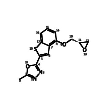 Cc1nnc(-c2cc3c(OC[C@@H]4CO4)cccc3s2)o1